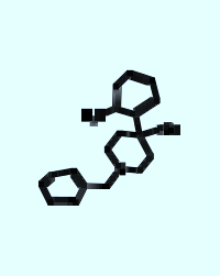 CCCCC1(c2ccccc2N)CCN(Cc2ccccc2)CC1